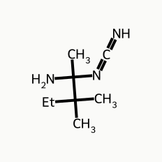 CCC(C)(C)C(C)(N)N=C=N